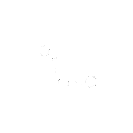 C=C(CCNC(=O)c1cncc(C)c1)NC(=O)COc1ccc(Cl)c(F)c1